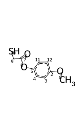 COc1ccc(OC(=O)CS)cc1